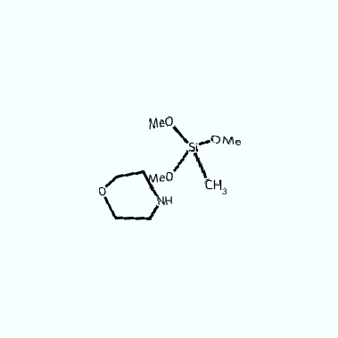 C1COCCN1.CO[Si](C)(OC)OC